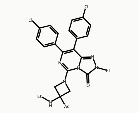 CCNC1(C(C)=O)CN(c2nc(-c3ccc(Cl)cc3)c(-c3ccc(Cl)cc3)c3nn(CC)c(=O)n23)C1